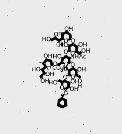 CC(=O)NC1[C@H](O[C@@H]2C(O)[C@H](O[C@@H]3C(CO)O[C@@H](OCc4ccccc4)C(O)[C@H]3O)OC(CO)[C@@H]2O)OC(CO[C@]2(C(=O)O)C[C@@H](O)[C@@H](C)C([C@H](O)[C@H](O)CO)O2)[C@@H](O)[C@@H]1O[C@@H]1OC(CO)[C@H](O)[C@H](OC2C[C@@H](O)[C@@H](C)C([C@H](O)[C@H](O)CO)O2)C1O